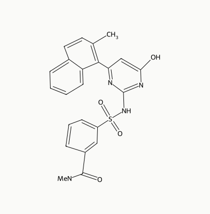 CNC(=O)c1cccc(S(=O)(=O)Nc2nc(O)cc(-c3c(C)ccc4ccccc34)n2)c1